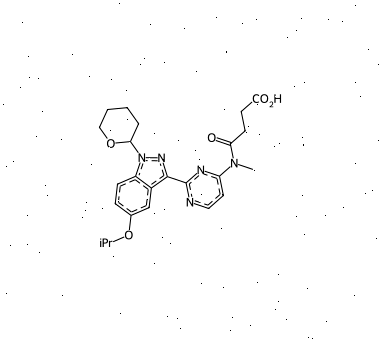 CC(C)Oc1ccc2c(c1)c(-c1nccc(N(C)C(=O)CCC(=O)O)n1)nn2C1CCCCO1